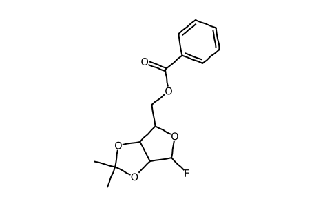 CC1(C)OC2C(F)OC(COC(=O)c3ccccc3)C2O1